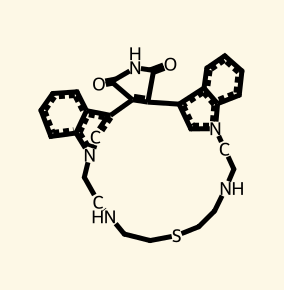 O=C1NC(=O)C2=C1c1cn(c3ccccc13)CCNCCSCCNCCn1cc2c2ccccc21